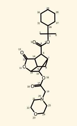 CC(C)(OC(=O)C1C2CC3C(OC(=O)C31)C2OC(=O)CN1CCOCC1)C1CCCCC1